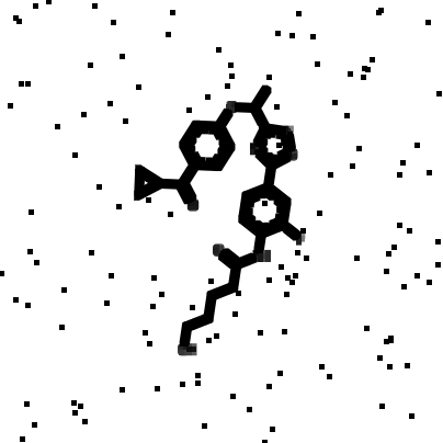 CC(Oc1ccc(C(=O)C2CC2)cc1)c1noc(-c2ccc(NC(=O)CCCCO)c(F)c2)n1